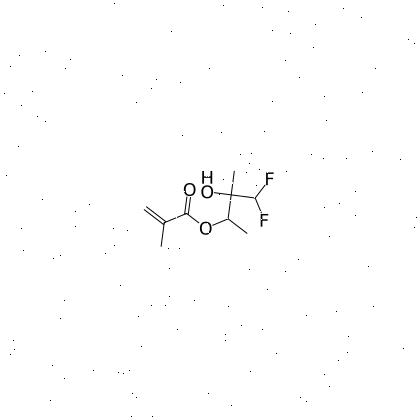 C=C(C)C(=O)OC(C)C(C)(O)C(F)F